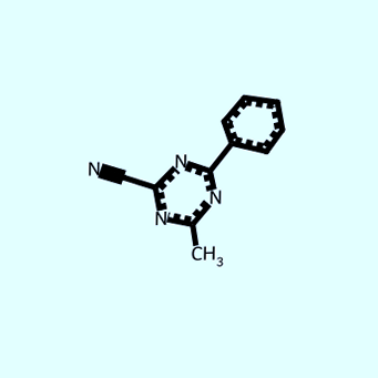 Cc1nc(C#N)nc(-c2ccccc2)n1